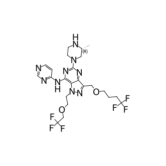 C[C@@H]1CN(c2nc(Nc3ccncn3)c3c(n2)c(COCCCC(F)(F)F)nn3CCOCC(F)(F)F)CCN1